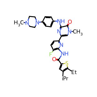 CCc1sc(C(=O)Nc2nc(-c3cn(C)c(=O)c(Nc4ccc(N5CCN(C)CC5)cc4)n3)ccc2F)cc1C(C)C